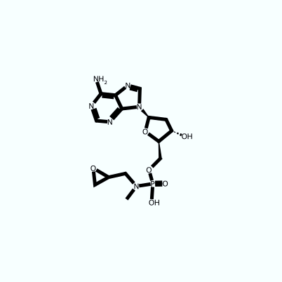 CN(CC1CO1)P(=O)(O)OC[C@H]1O[C@@H](n2cnc3c(N)ncnc32)C[C@@H]1O